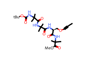 CC#COC[C@H](NC(=O)C(C)(C)NC(=O)C(C)(C)NC(=O)OC(C)(C)C)C(=O)NC(C)(C)C(=O)OC